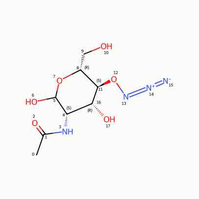 CC(=O)N[C@@H]1C(O)O[C@H](CO)[C@@H](ON=[N+]=[N-])[C@@H]1O